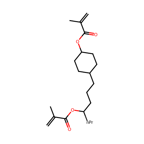 C=C(C)C(=O)OC(CCC)CCCC1CCC(OC(=O)C(=C)C)CC1